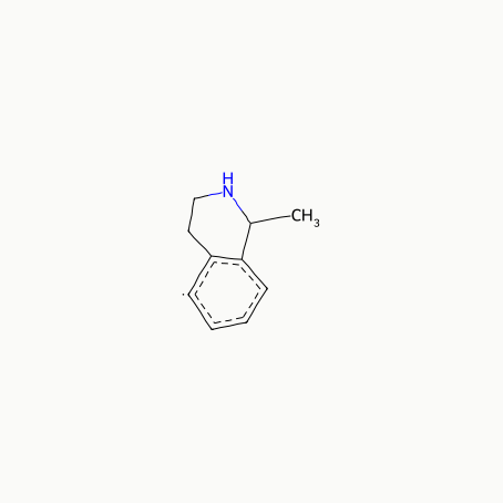 CC1NCCc2[c]cccc21